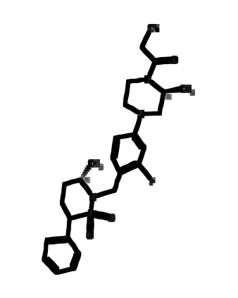 C[C@H]1CN(c2ccc(CN3[C@@H](C)CCC(c4ccccc4)S3(=O)=O)c(F)c2)CCN1C(=O)CC#N